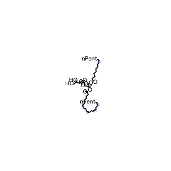 CCCCC/C=C\C/C=C\C/C=C\C/C=C\CCCCCC(=O)O[C@H](COC(=O)CCCCCCC/C=C\CCCCC)COP(=O)(O)OC[C@@H](O)CO